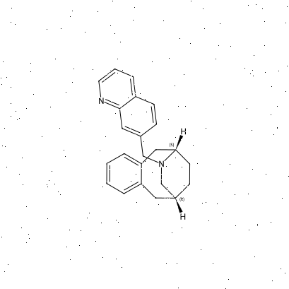 c1ccc2c(c1)C[C@H]1CC[C@@H](C2)N(Cc2ccc3cccnc3c2)C1